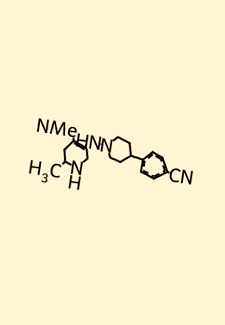 CNC1=C(NN2CCC(c3ccc(C#N)cc3)CC2)CNC(C)C1